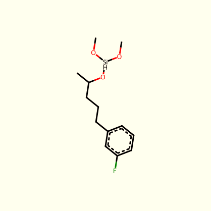 CO[SiH](OC)OC(C)CCCc1cccc(F)c1